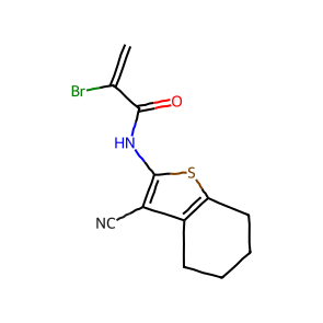 C=C(Br)C(=O)Nc1sc2c(c1C#N)CCCC2